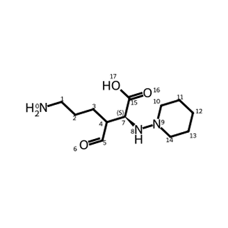 NCCCC(C=O)[C@H](NN1CCCCC1)C(=O)O